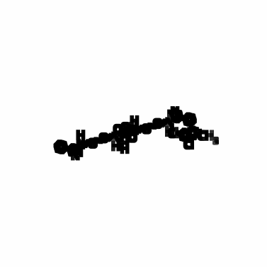 CN1Cc2c(Cl)cc(Cl)cc2[C@H](c2cccc(-c3cnnc(NCCOCCOCCNC(=O)[C@H](O)[C@@H](O)C(=O)NCCOCCOCCNc4cc(-c5ccccc5)cnn4)c3)c2)C1